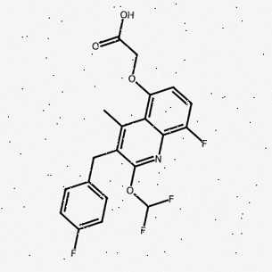 Cc1c(Cc2ccc(F)cc2)c(OC(F)F)nc2c(F)ccc(OCC(=O)O)c12